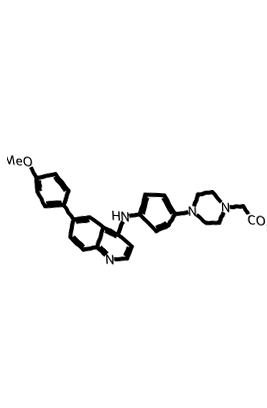 COc1ccc(-c2ccc3nccc(Nc4ccc(N5CCN(CC(=O)O)CC5)cc4)c3c2)cc1